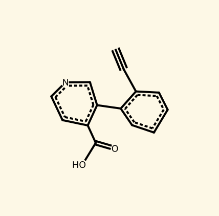 C#Cc1ccccc1-c1cnccc1C(=O)O